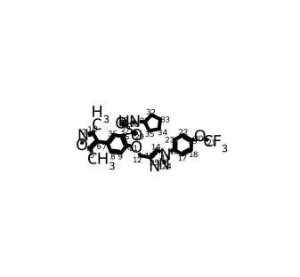 Cc1noc(C)c1-c1ccc(OCc2cn(-c3ccc(OC(F)(F)F)cc3)nn2)c(S(=O)(=O)NC2CCCC2)c1